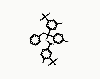 O=C(NC(Cc1ccccc1)(c1ccc(Br)cc1)c1cc(F)cc(C(F)(F)F)c1)c1ccc(F)c(C(F)(F)F)c1